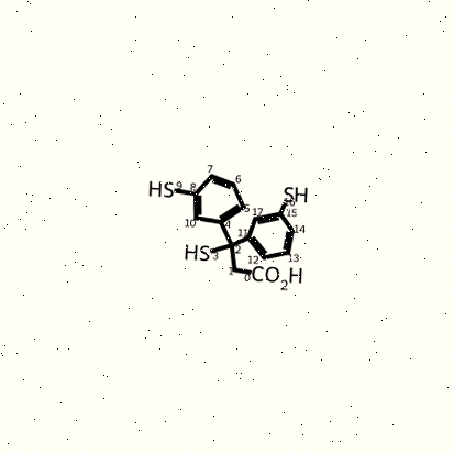 O=C(O)CC(S)(c1cccc(S)c1)c1cccc(S)c1